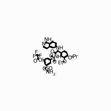 CCOc1cc(C(Nc2ccc3c(N)nccc3c2)C(=O)NS(=O)(=O)c2cccc(S(N)(=O)=O)c2)ccc1OC(C)C.O=C(O)C(F)(F)F